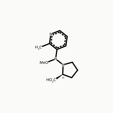 CON(c1cccnc1C)N1CCC[C@H]1C(=O)O